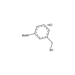 CNc1cccc(CS)c1.Cl